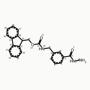 NNC(=O)c1cccc(CNC(=O)OCC2c3ccccc3-c3ccccc32)c1